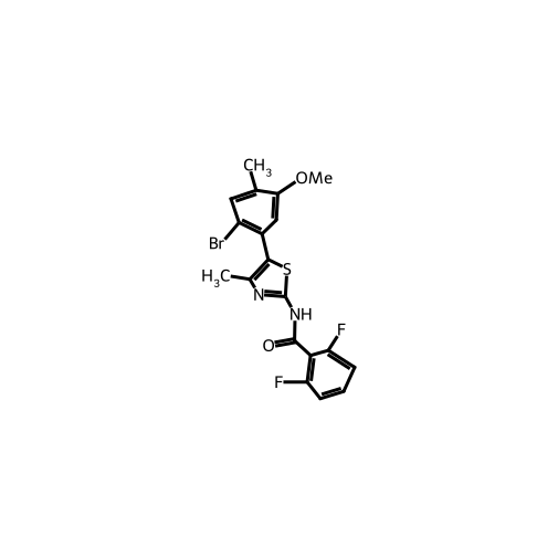 COc1cc(-c2sc(NC(=O)c3c(F)cccc3F)nc2C)c(Br)cc1C